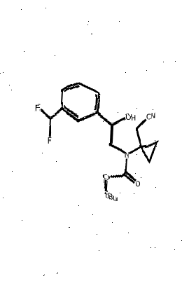 CC(C)(C)OC(=O)N(CC(O)c1cccc(C(F)F)c1)C1(CC#N)CC1